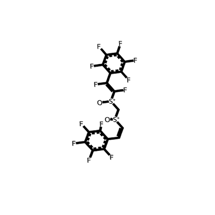 [O-][S+](/C=C\c1c(F)c(F)c(F)c(F)c1F)C[S+]([O-])C(F)=C(F)c1c(F)c(F)c(F)c(F)c1F